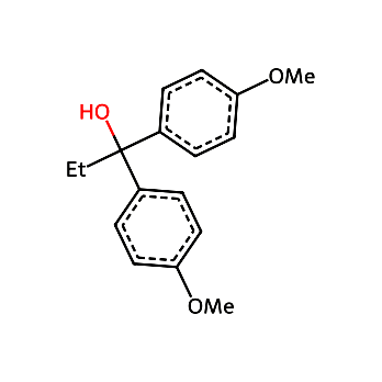 CCC(O)(c1ccc(OC)cc1)c1ccc(OC)cc1